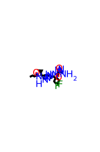 CCCC(=O)N[C@@H](c1cnn2cc([C@@H](NC(=O)c3nonc3N)C3CCC(F)(F)CC3)nc2c1)C1CC1